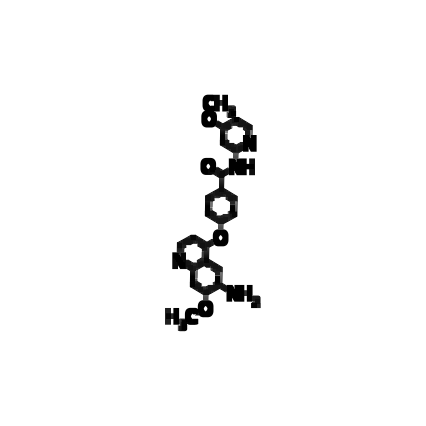 COc1ccnc(NC(=O)c2ccc(Oc3ccnc4cc(OC)c(N)cc34)cc2)c1